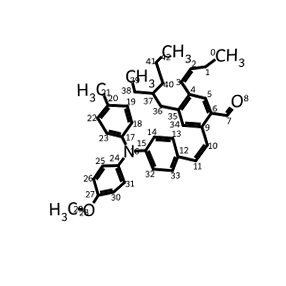 CC/C=C\c1cc(C=O)c(/C=C\c2ccc(N(c3ccc(C)cc3)c3ccc(OC)cc3)cc2)cc1CC(CC)CCC